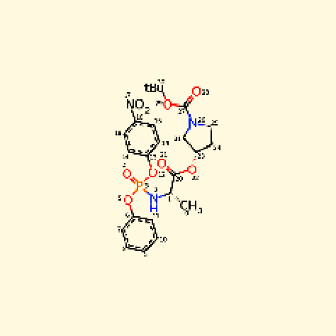 C[C@H](NP(=O)(Oc1ccccc1)Oc1ccc([N+](=O)[O-])cc1)C(=O)O[C@H]1CCN(C(=O)OC(C)(C)C)C1